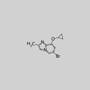 Cc1cn2cc(Br)cc(OC3CC3)c2n1